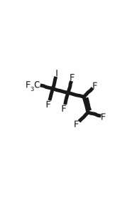 FC(F)=C(F)C(F)(F)C(F)(I)C(F)(F)F